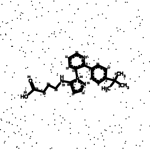 CC(C)(C)c1ccc(-c2ncccc2-n2nccc2NCCCC(=O)O)cc1